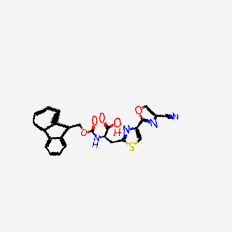 N#Cc1coc(-c2csc(CC(NC(=O)OCC3c4ccccc4-c4ccccc43)C(=O)O)n2)n1